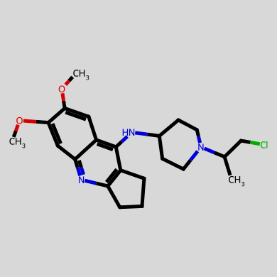 COc1cc2nc3c(c(NC4CCN(C(C)CCl)CC4)c2cc1OC)CCC3